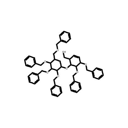 OCC1C=CC(OCc2ccccc2)C(OCc2ccccc2)C1OC1CC(COCc2ccccc2)C(OCc2ccccc2)C(OCc2ccccc2)C1OCc1ccccc1